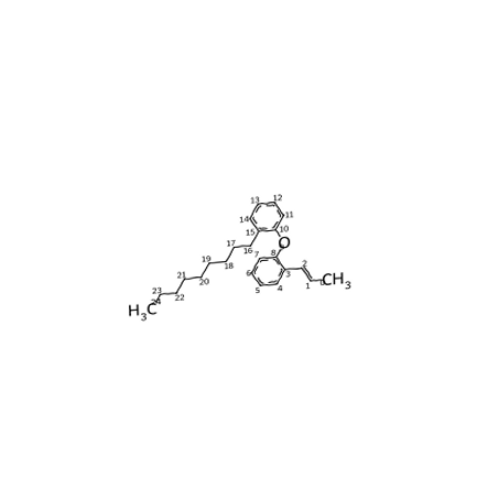 CC=Cc1ccccc1Oc1ccccc1CCCCCCCCC